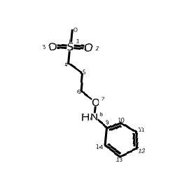 CS(=O)(=O)CCCONc1ccccc1